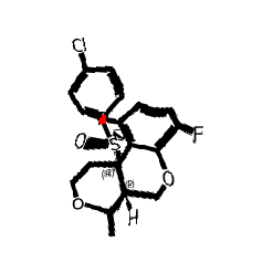 CC1OCC[C@]2(S(=O)(=O)c3ccc(Cl)cc3)c3c(F)ccc(F)c3OC[C@H]12